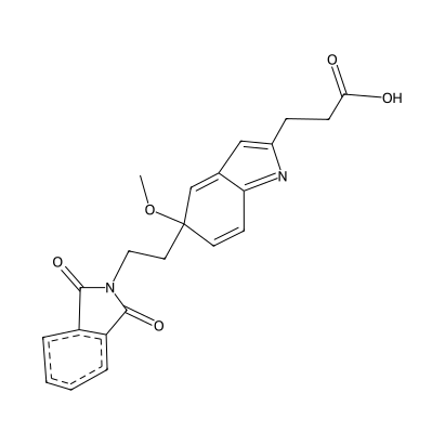 COC1(CCN2C(=O)c3ccccc3C2=O)C=CC2=NC(CCC(=O)O)=CC2=C1